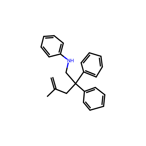 C=C(C)CC(CNc1ccccc1)(c1ccccc1)c1ccccc1